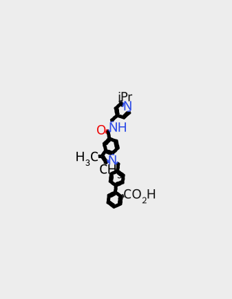 Cc1c(C)n(Cc2ccc(-c3ccccc3C(=O)O)cc2)c2ccc(C(=O)NCc3ccnc(C(C)C)c3)cc12